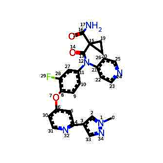 Cn1cc(-c2cc(Oc3ccc(N(C(=O)C4(C(N)=O)CC4)c4ccncc4)cc3F)ccn2)cn1